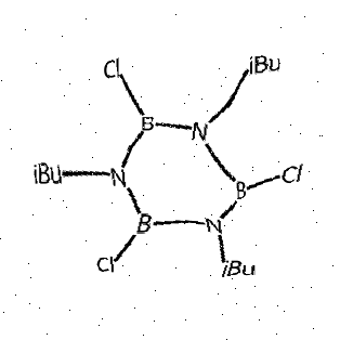 CCC(C)N1B(Cl)N(C(C)CC)B(Cl)N(C(C)CC)B1Cl